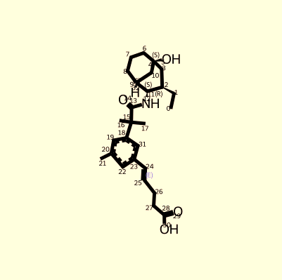 CC[C@@H]1C[C@@]2(O)CCC[C@@H](C2)[C@H]1NC(=O)C(C)(C)c1cc(C)cc(/C=C/CCC(=O)O)c1